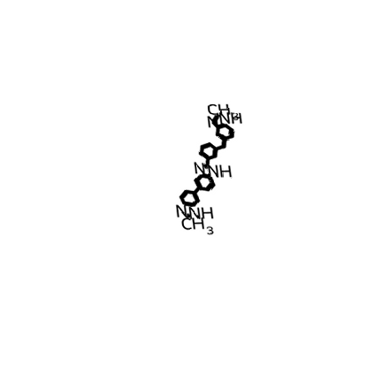 Cc1nc2cc(Cc3cccc(-c4nc5cc(-c6ccc7nc(C)[nH]c7c6)ccc5[nH]4)c3)ccc2[nH]1